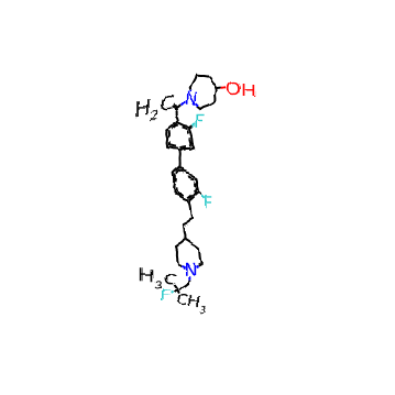 C=C(c1ccc(-c2ccc(CCC3CCN(CC(C)(C)F)CC3)c(F)c2)cc1F)N1CCCC(O)CC1